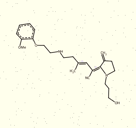 C=C1CCN(CCCO)/C1=C(C#N)/C=C(\C)CCNCCOc1ccccc1OC